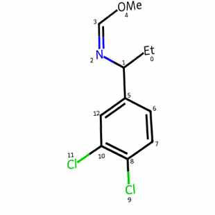 CCC(/N=C\OC)c1ccc(Cl)c(Cl)c1